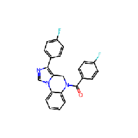 O=C(c1ccc(F)cc1)N1Cc2c(-c3ccc(F)cc3)ncn2-c2ccccc21